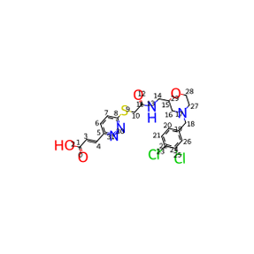 O=C(O)/C=C/c1ccc(SCC(=O)NCC2CN(Cc3ccc(Cl)c(Cl)c3)CCO2)nn1